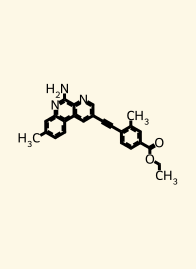 CCOC(=O)c1ccc(C#Cc2cnc3c(N)nc4cc(C)ccc4c3c2)c(C)c1